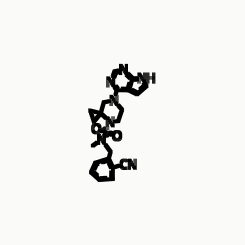 CN(Cc1ccccc1C#N)S(=O)(=O)N1CCN(c2ncnc3[nH]ccc23)CC12CC2